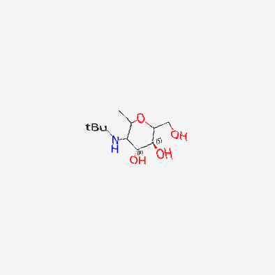 CC1OC(CO)[C@@H](O)[C@H](O)C1NC(C)(C)C